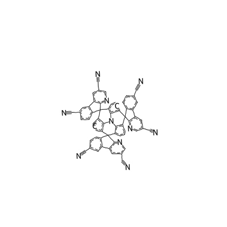 N#Cc1ccc2c(c1)-c1cc(C#N)cnc1C21c2cccc3c2N2c4c1cccc4C1(c4ccc(C#N)cc4-c4cc(C#N)cnc41)c1cccc(c12)C31c2ccc(C#N)cc2-c2cc(C#N)cnc21